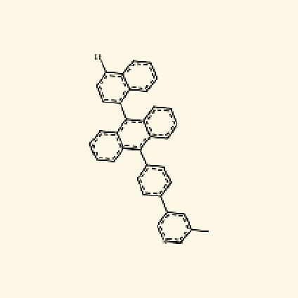 CCc1ccc(-c2c3ccccc3c(-c3ccc(-c4cncc(C)c4)cc3)c3ccccc23)c2ccccc12